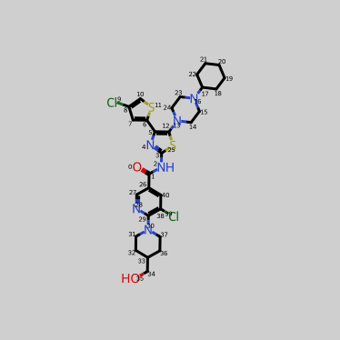 O=C(Nc1nc(-c2cc(Cl)cs2)c(N2CCN(C3CCCCC3)CC2)s1)c1cnc(N2CCC(CO)CC2)c(Cl)c1